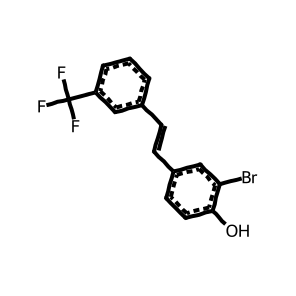 Oc1ccc(/C=C/c2cccc(C(F)(F)F)c2)cc1Br